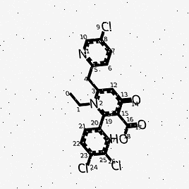 CCn1c(Cc2ccc(Cl)cn2)cc(=O)c(C(=O)O)c1-c1ccc(Cl)c(Cl)c1